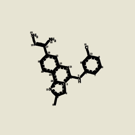 Cc1cn2c(Nc3cccc(Cl)c3)nc3cc(/C(N)=N/N)ccc3c2n1